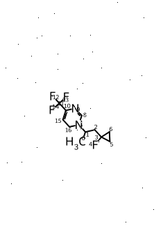 CC(CC1(F)CC1)N1C=NC(C(F)(F)F)=CC1